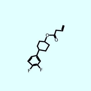 C=CCC(=O)OC1CCC(c2ccc(F)c(F)c2)CC1